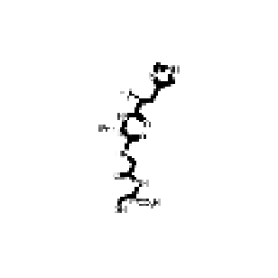 CC(C)[C@H](NC(=O)[C@@H](N)Cc1c[nH]cn1)C(=O)NCC(=O)N[C@@H](CS)C(=O)O